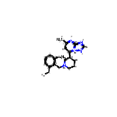 CCc1cccc(C)c1CN1CCCC(c2cc(C)nc3ncnn23)C1